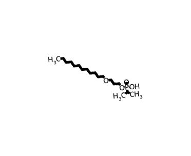 CCCCCCCCCCCCOCCCOP(=O)(O)C(C)C